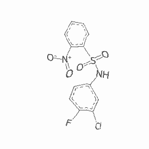 O=[N+]([O-])c1ccccc1S(=O)(=O)Nc1ccc(F)c(Cl)c1